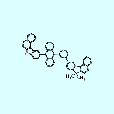 CC1(C)c2ccc(-c3cccc(-c4c5ccccc5c(-c5ccc6oc7ccc8ccccc8c7c6c5)c5ccccc45)c3)cc2-c2c1ccc1ccccc21